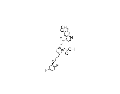 COc1ccc2nccc(C(F)CC[C@@H]3CCN(CCCSc4cc(F)ccc4F)C[C@@H]3CC(=O)O)c2c1